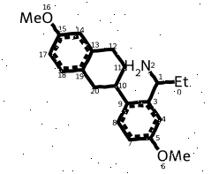 CCC(N)c1cc(OC)ccc1C1CCc2cc(OC)ccc2C1